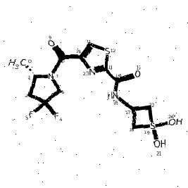 C[C@H]1CC(F)(F)CN1C(=O)c1csc(C(=O)NC2CS(O)(O)C2)n1